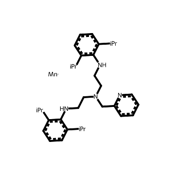 CC(C)c1cccc(C(C)C)c1NCCN(CCNc1c(C(C)C)cccc1C(C)C)Cc1ccccn1.[Mn]